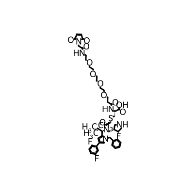 CC(C)(C)[C@H](c1cc(-c2cc(F)ccc2F)cn1Cc1ccccc1)N(C[C@@H]1CNC[C@@H]1F)C(=O)CSC[C@H](NC(=O)CCOCCOCCOCCOCCNC(=O)CN1C(=O)C=CC1=O)C(=O)O